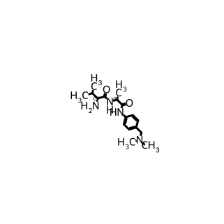 CC(C)[C@H](N)C(=O)N[C@@H](C)C(=O)Nc1ccc(CN(C)C)cc1